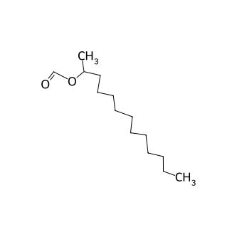 CCCCCCCCCCCC(C)OC=O